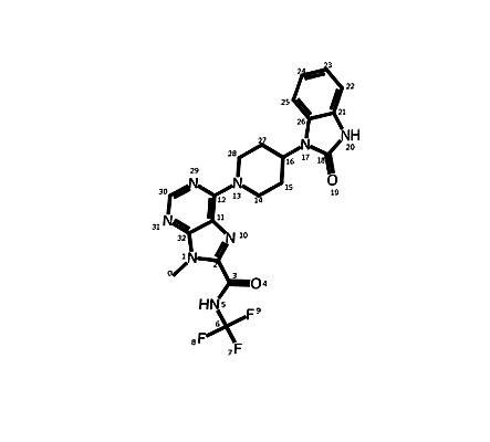 Cn1c(C(=O)NC(F)(F)F)nc2c(N3CCC(n4c(=O)[nH]c5ccccc54)CC3)ncnc21